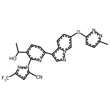 Cc1ccc(Oc2ccc3c(-c4ccc(C(C)O)c(-n5nc(C(F)(F)F)cc5C#N)n4)cnn3c2)nn1